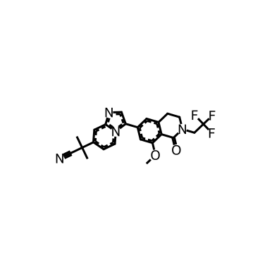 COc1cc(-c2cnc3cc(C(C)(C)C#N)ccn23)cc2c1C(=O)N(CC(F)(F)F)CC2